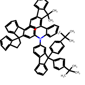 CC(C)(C)c1ccc(C2(c3ccc(C(C)(C)C)cc3)c3ccccc3-c3ccc(N(c4ccc5c(c4)C4(CCc6ccccc64)c4ccccc4-5)c4ccccc4-c4cccc5c4C(C)(C)c4ccccc4-5)cc32)cc1